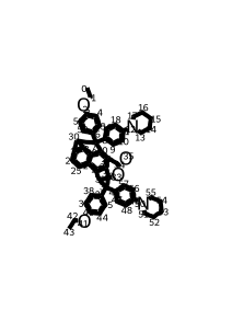 CCOc1ccc(C2(c3ccc(N4CCCCC4)cc3)c3c4c5c(c6ccc7c(c36)C72)C2C5(OC4=O)C2(c2ccc(OCC)cc2)c2ccc(N3CCCCC3)cc2)cc1